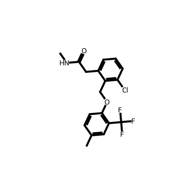 CNC(=O)Cc1cccc(Cl)c1COc1ccc(C)cc1C(F)(F)F